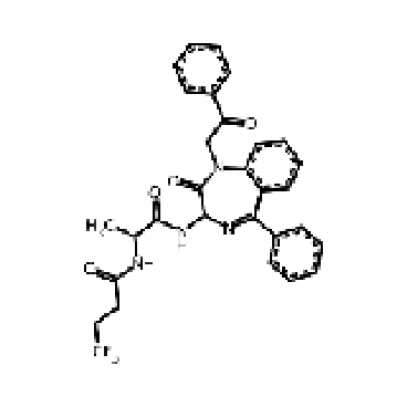 C[C@H](NC(=O)CCC(F)(F)F)C(=O)NC1N=C(c2ccccc2)c2ccccc2N(CC(=O)c2ccccc2)C1=O